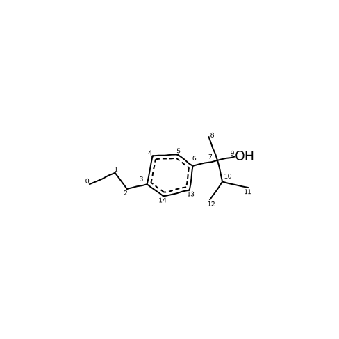 CCCc1ccc(C(C)(O)C(C)C)cc1